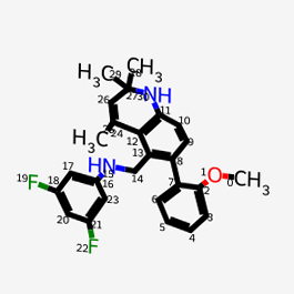 COc1ccccc1-c1ccc2c(c1CNc1cc(F)cc(F)c1)C(C)=CC(C)(C)N2